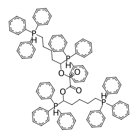 O=C(OC(CCCC[PH](c1ccccc1)(c1ccccc1)c1ccccc1)[PH](c1ccccc1)(c1ccccc1)c1ccccc1)C(=O)OC(CCCC[PH](c1ccccc1)(c1ccccc1)c1ccccc1)[PH](c1ccccc1)(c1ccccc1)c1ccccc1